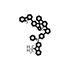 CC1(C)c2ccccc2-c2ccc(N(c3ccccc3)c3ccc(-c4cccc5c4sc4c6c(ccc45)-c4ccccc4C64c5ccccc5-c5ccc(-c6cccc7c6sc6ccccc67)cc54)cc3)cc21